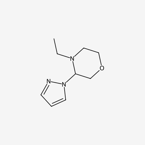 CCN1CCOCC1n1cccn1